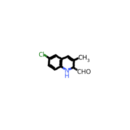 CC1=Cc2cc(Cl)ccc2NC1C=O